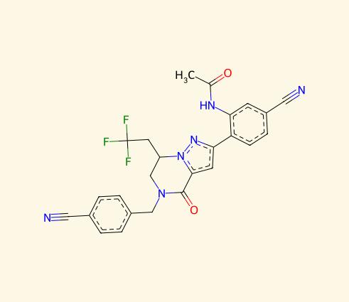 CC(=O)Nc1cc(C#N)ccc1-c1cc2n(n1)C(CC(F)(F)F)CN(Cc1ccc(C#N)cc1)C2=O